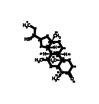 CCC(S)C1C[C@H]2[C@@H]3C(C)CC4N(C)C(=O)CC[C@]4(C)[C@@H]3CC[C@]2(C)C1